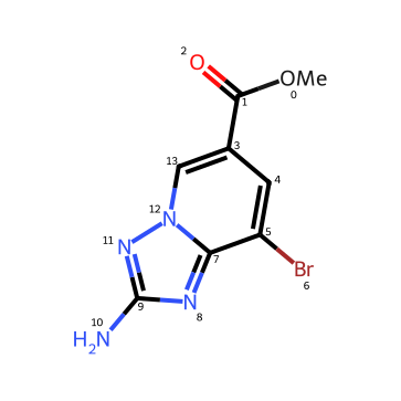 COC(=O)c1cc(Br)c2nc(N)nn2c1